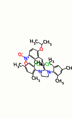 Cc1cc(C)c(N2CCN(c3c(C)cc(C)cc3C)[C]2=[Ru]([Cl])([Cl])=[CH]c2cc([N+](=O)[O-])ccc2OC(C)C)c(C)c1